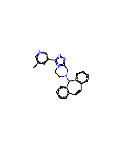 Cc1cncc(-c2nnc3n2CCN(C2c4ccccc4C=Cc4ccccc42)C3)c1